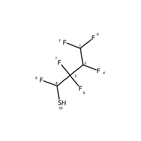 FC(F)C(F)C(F)(F)C(F)S